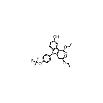 CCOC(=O)Cc1c(C(=O)OCC)c2cc(O)ccc2n1-c1ccc(OC(F)(F)F)cc1